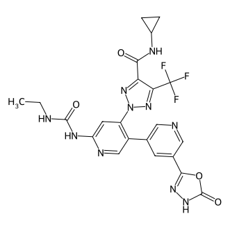 CCNC(=O)Nc1cc(-n2nc(C(=O)NC3CC3)c(C(F)(F)F)n2)c(-c2cncc(-c3n[nH]c(=O)o3)c2)cn1